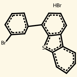 Br.Brc1cccc(-c2cccc3c2sc2ccccc23)c1